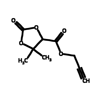 C#CCOC(=O)C1OC(=O)OC1(C)C